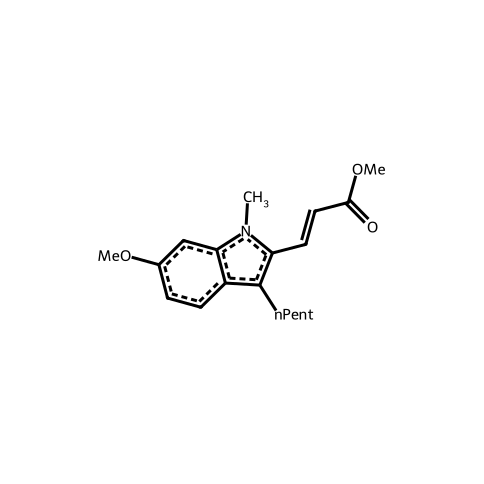 CCCCCc1c(C=CC(=O)OC)n(C)c2cc(OC)ccc12